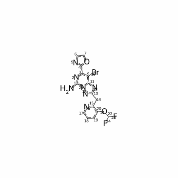 Nc1nc(-c2ncco2)c(Br)c2nc(Cc3ncccc3OC(F)F)nn12